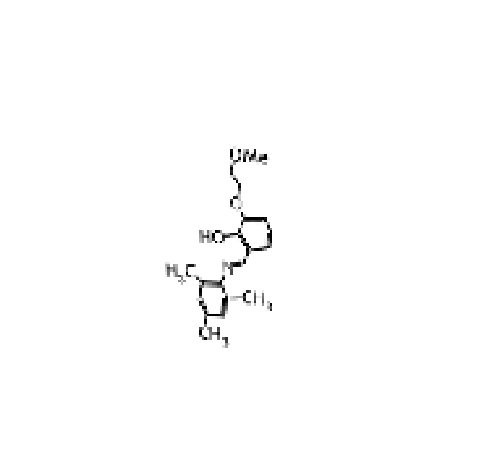 COCCOc1cccc(/C=N/c2c(C)cc(C)cc2C)c1O